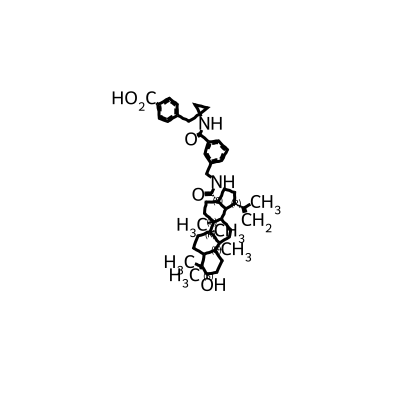 C=C(C)[C@@H]1CC[C@]2(C(=O)NCc3cccc(C(=O)NC4(Cc5ccc(C(=O)O)cc5)CC4)c3)CC[C@]3(C)C(CCC4[C@@]5(C)CC[C@H](O)C(C)(C)C5CC[C@]43C)C12